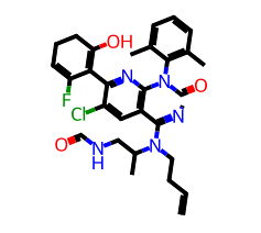 C=CCCN(/C(=N/C)c1cc(Cl)c(C2=C(O)CCC=C2F)nc1N(C=O)c1c(C)cccc1C)C(C)CNC=O